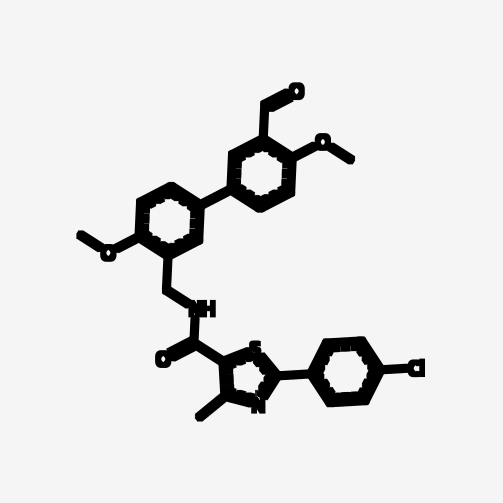 COc1ccc(-c2ccc(OC)c(CNC(=O)c3sc(-c4ccc(Cl)cc4)nc3C)c2)cc1C=O